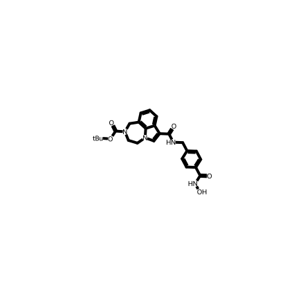 CC(C)(C)OC(=O)N1CCn2cc(C(=O)NCc3ccc(C(=O)NO)cc3)c3cccc(c32)C1